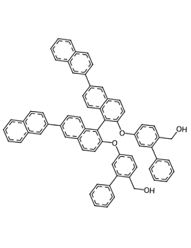 OCc1ccc(Oc2ccc3cc(-c4ccc5ccccc5c4)ccc3c2-c2c(Oc3ccc(CO)c(-c4ccccc4)c3)ccc3cc(-c4ccc5ccccc5c4)ccc23)cc1-c1ccccc1